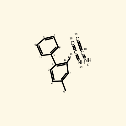 Cc1ccc(-c2ccccc2)c(C)c1.N=C=O.N=C=O